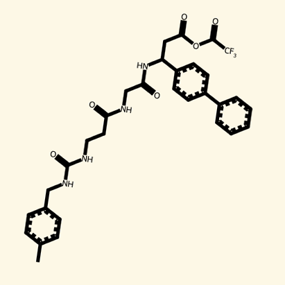 Cc1ccc(CNC(=O)NCCC(=O)NCC(=O)NC(CC(=O)OC(=O)C(F)(F)F)c2ccc(-c3ccccc3)cc2)cc1